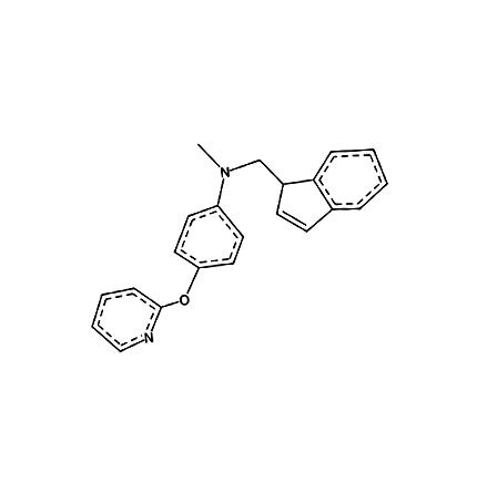 CN(CC1C=Cc2ccccc21)c1ccc(Oc2ccccn2)cc1